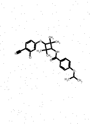 CC(C)Oc1ccc(C(=O)NC2C(C)(C)C(Oc3ccc(C#N)c(Cl)c3)C2(C)C)cc1